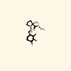 COC(=O)[C@@]1(C)CCCN1NCc1ccc(I)c(F)c1F